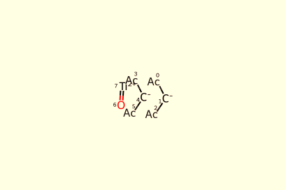 CC(=O)[CH-]C(C)=O.CC(=O)[CH-]C(C)=O.[O]=[Ti+2]